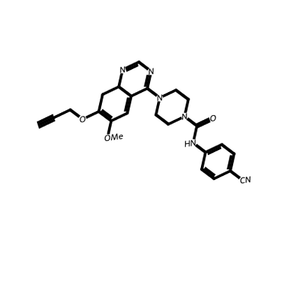 C#CCOC1=C(OC)C=C2C(N3CCN(C(=O)Nc4ccc(C#N)cc4)CC3)=NC=NC2C1